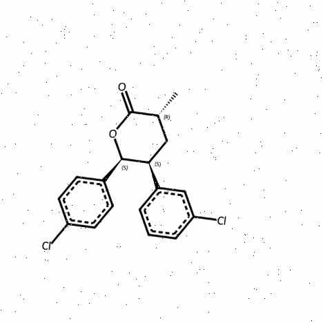 C[C@@H]1C[C@@H](c2cccc(Cl)c2)[C@@H](c2ccc(Cl)cc2)OC1=O